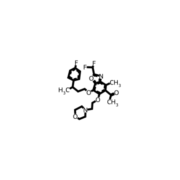 CC(=O)c1c(OCCN2CCOCC2)c(OCCC(C)c2ccc(F)cc2)c2oc(C(F)F)nc2c1C